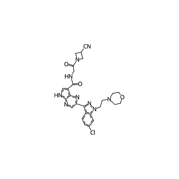 N#CC1CN(C(=O)CNC(=O)c2c[nH]c3ncc(-c4nn(CCN5CCOCC5)c5cc(Cl)ccc45)nc23)C1